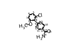 COc1cccc(Cl)c1-c1ncc(C(N)=O)cn1